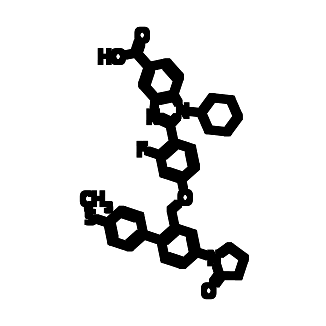 CSc1ccc(-c2ccc(N3CCCC3=O)cc2COc2ccc(-c3nc4cc(C(=O)O)ccc4n3C3CCCCC3)c(F)c2)cc1